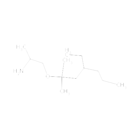 CCCC(CC)CC(C)(C)OCC(C)N